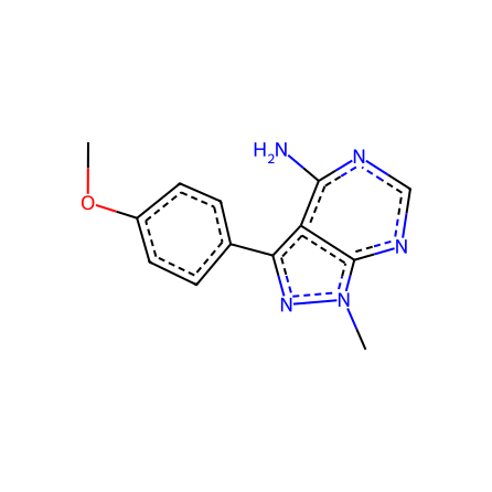 COc1ccc(-c2nn(C)c3ncnc(N)c23)cc1